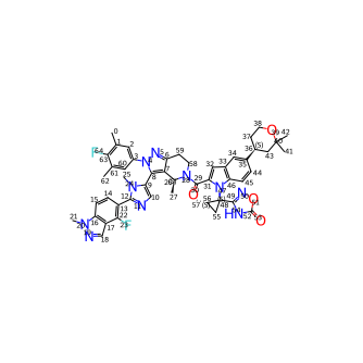 Cc1cc(-n2nc3c(c2-c2cnc(-c4ccc5c(cnn5C)c4F)n2C)[C@H](C)N(C(=O)c2cc4cc([C@H]5CCOC(C)(C)C5)ccc4n2[C@@]2(c4noc(=O)[nH]4)C[C@@H]2C)CC3)cc(C)c1F